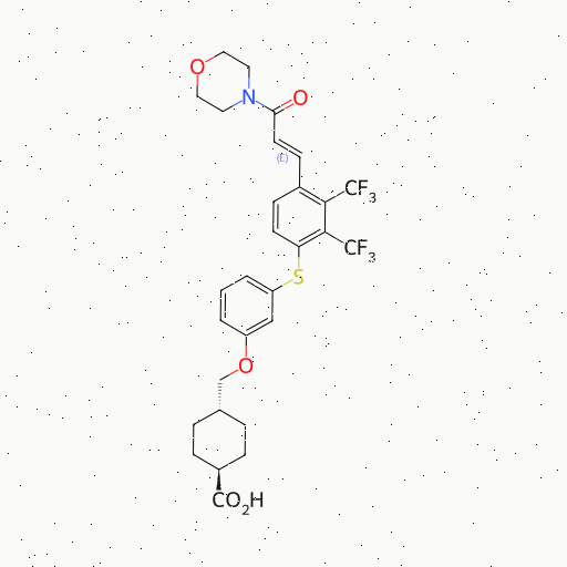 O=C(/C=C/c1ccc(Sc2cccc(OC[C@H]3CC[C@H](C(=O)O)CC3)c2)c(C(F)(F)F)c1C(F)(F)F)N1CCOCC1